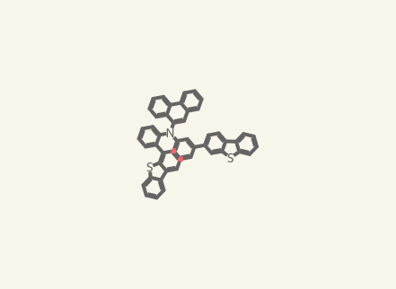 c1cc(-c2ccc3c(c2)sc2ccccc23)cc(N(c2ccccc2-c2cccc3c2sc2ccccc23)c2cc3ccccc3c3ccccc23)c1